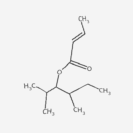 CC=CC(=O)OC(C(C)C)C(C)CC